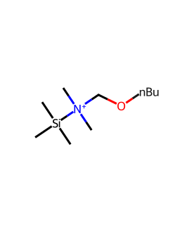 CCCCOC[N+](C)(C)[Si](C)(C)C